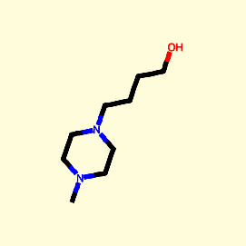 CN1CCN(CCCCO)CC1